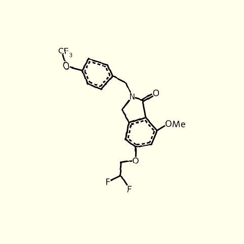 COc1cc(OCC(F)F)cc2c1C(=O)N(Cc1ccc(OC(F)(F)F)cc1)C2